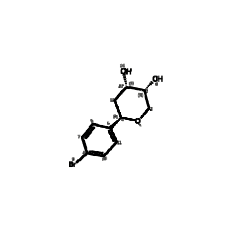 O[C@@H]1CO[C@@H](c2ccc(Br)cc2)C[C@@H]1O